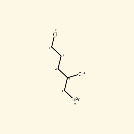 CCCCC(Cl)CCCCl